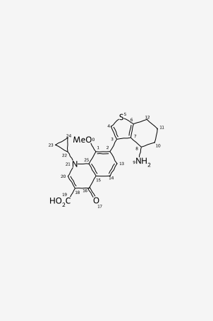 COc1c(-c2csc3c2C(N)CCC3)ccc2c(=O)c(C(=O)O)cn(C3CC3)c12